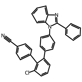 N#Cc1ccc(-c2c(Cl)cccc2-c2ccc(-n3c(-c4ccccc4)nc4ccccc43)cc2)cc1